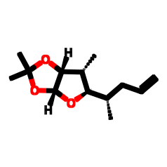 C=CC[C@H](C)[C@H]1O[C@@H]2OC(C)(C)O[C@@H]2[C@@H]1C